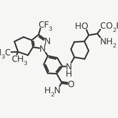 CC1(C)CCc2c(C(F)(F)F)nn(-c3ccc(C(N)=O)c(NC4CCC(C(O)C(N)C(=O)O)CC4)c3)c2C1